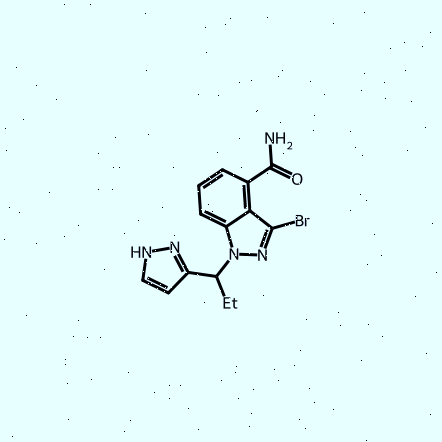 CCC(c1cc[nH]n1)n1nc(Br)c2c(C(N)=O)cccc21